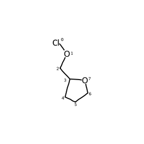 ClOCC1CCCO1